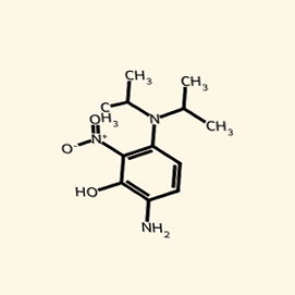 CC(C)N(c1ccc(N)c(O)c1[N+](=O)[O-])C(C)C